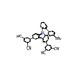 CC(C)(C)c1ccc(-c2ccccc2-n2c3ccc(-c4cc(C#N)cc(C#N)c4)cc3c3cc(-c4cc(C#N)cc(C#N)c4)ccc32)cc1